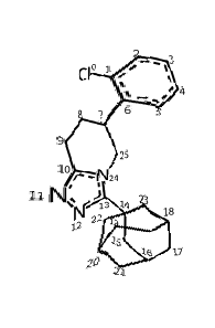 Clc1ccccc1C1CCc2nnc(C34CC5CC(CC(C5)C3)C4)n2C1